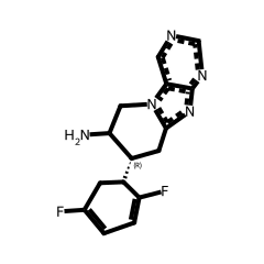 NC1Cn2c(nc3ncncc32)C[C@@H]1C1CC(F)=CC=C1F